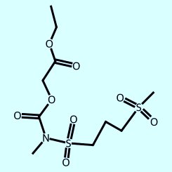 CCOC(=O)COC(=O)N(C)S(=O)(=O)CCCS(C)(=O)=O